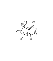 C=C1N(C)c2c(C)ccc(C)c2C1(C)C